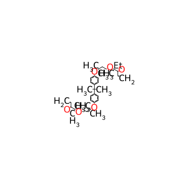 C=CC(=O)C(C)(C)OCCC(C)(C)Oc1ccc(C(C)(C)c2ccc(OC(C)(C)CCOC(C)(CC)C(=O)C=C)cc2)cc1